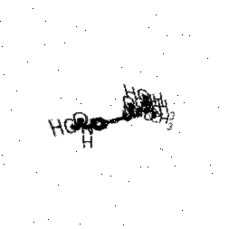 C[C@@](CCN1Cc2cc(C#Cc3ccc(NC(=O)CO)cc3)cn2C1=O)(C(=O)NO)S(C)(=O)=O